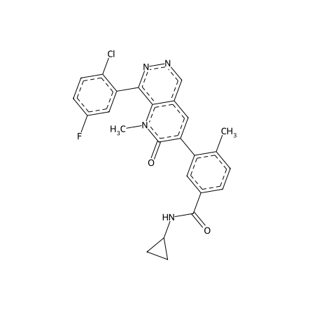 Cc1ccc(C(=O)NC2CC2)cc1-c1cc2cnnc(-c3cc(F)ccc3Cl)c2n(C)c1=O